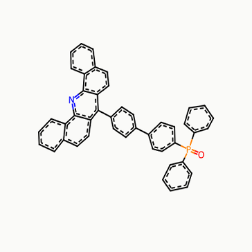 O=P(c1ccccc1)(c1ccccc1)c1ccc(-c2ccc(-c3c4ccc5ccccc5c4nc4c3ccc3ccccc34)cc2)cc1